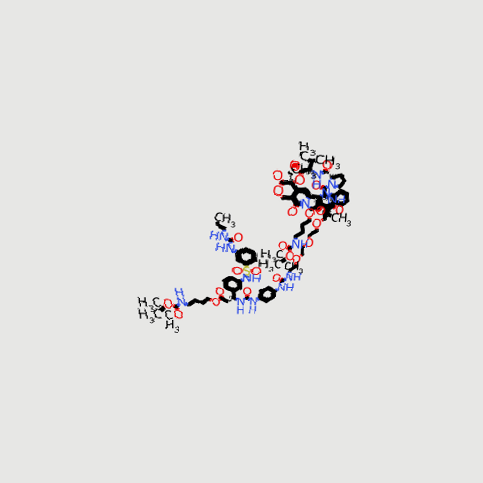 CCCNC(=O)Nc1cccc(S(=O)(=O)Nc2cccc([C@@H](CC(=O)OCCCCNC(=O)OC(C)(C)C)NC(=O)Nc3ccc(NC(=O)NCCOCCOCCOCCC(=O)N[C@@H](CC(=O)OCCCCNC(=O)OC(C)(C)C)C(=O)N4CCC[C@H]4C(=O)N[C@H](C(=O)O[C@]4(CC)C(=O)OCc5c4cc4n(c5=O)Cc5c-4nc4ccccc4c5CC)C(C)C)cc3)c2)c1